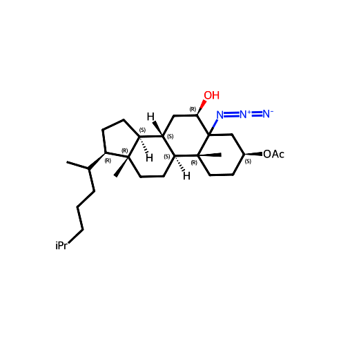 CC(=O)O[C@H]1CC[C@]2(C)[C@H]3CC[C@]4(C)[C@@H](C(C)CCCC(C)C)CC[C@H]4[C@@H]3C[C@@H](O)C2(N=[N+]=[N-])C1